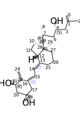 C=C(C)C[C@@H](O)C[C@@H](C)[C@H]1CC[C@H]2/C(=C/C=C3/C[C@H](O)C[C@@H](O)C3=C)CCC[C@]12C